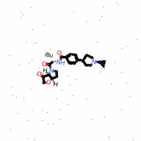 CC[C@H](C)[C@H](NC(=O)c1ccc(C2CCN(C3CC3)CC2)cc1)C(=O)N1CC[C@H]2OCC(=O)[C@H]21